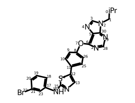 CC(C)Cn1cnc2c(Oc3ccc(-c4cnc(Nc5cccc(Br)c5)s4)cc3)ncnc21